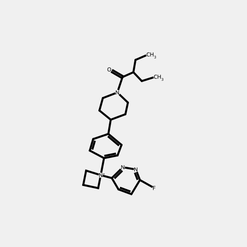 CCC(CC)C(=O)N1CCC(c2ccc([N+]3(c4ccc(F)nn4)CCC3)cc2)CC1